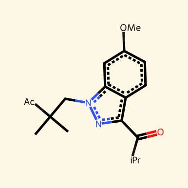 COc1ccc2c(C(=O)C(C)C)nn(CC(C)(C)C(C)=O)c2c1